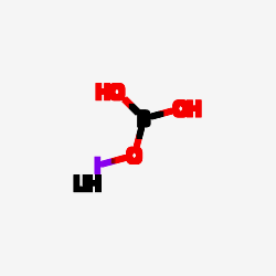 OB(O)OI.[LiH]